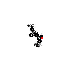 O=C(O)c1ccc2c(c1)nc(-c1ccc(OCc3cc(N4CCCS4(=O)=O)c(Cl)cc3-c3ccc(Cl)cc3)cc1F)n2C1CCCCC1